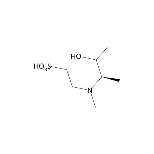 CC(O)[C@@H](C)N(C)CCS(=O)(=O)O